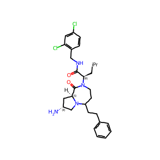 CC(C)C[C@H](C(=O)NCc1ccc(Cl)cc1Cl)N1CCC(CCc2ccccc2)N2C[C@H](N)C[C@H]2C1=O